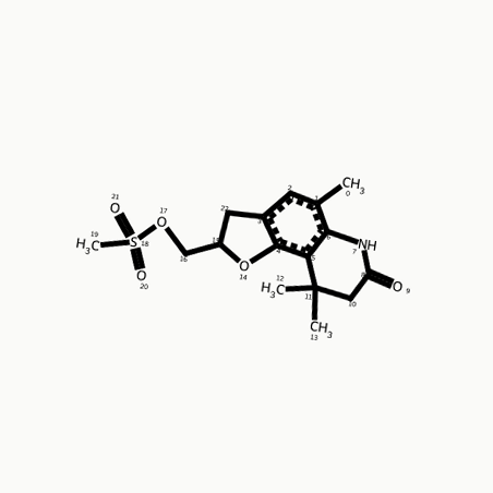 Cc1cc2c(c3c1NC(=O)CC3(C)C)OC(COS(C)(=O)=O)C2